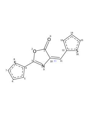 O=C1OC(c2cccs2)=N/C1=C/c1cccs1